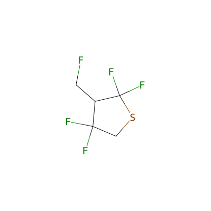 FCC1C(F)(F)CSC1(F)F